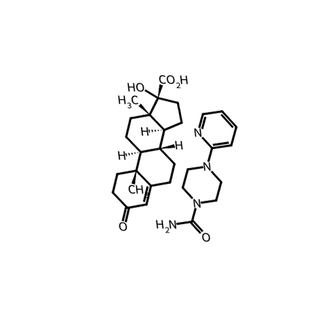 C[C@]12CCC(=O)C=C1CC[C@@H]1[C@@H]2CC[C@@]2(C)[C@H]1CC[C@]2(O)C(=O)O.NC(=O)N1CCN(c2ccccn2)CC1